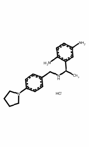 CC(NCc1ccc(N2CCCC2)cc1)c1cc(N)ccc1N.Cl